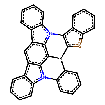 c1ccc2c(c1)B1c3sc4ccccc4c3-n3c4ccccc4c4cc5c6ccccc6n-2c5c1c43